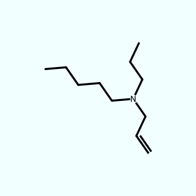 C=CCN(CCC)CCCCC